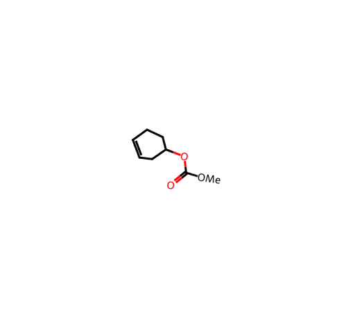 COC(=O)OC1CC=CCC1